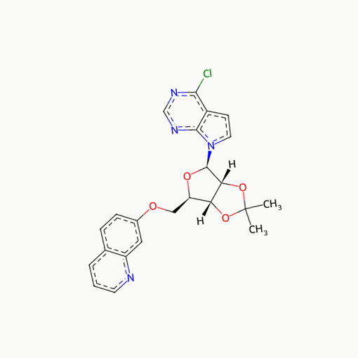 CC1(C)O[C@@H]2[C@H](O1)[C@@H](COc1ccc3cccnc3c1)O[C@H]2n1ccc2c(Cl)ncnc21